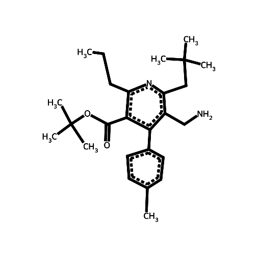 CCCc1nc(CC(C)(C)C)c(CN)c(-c2ccc(C)cc2)c1C(=O)OC(C)(C)C